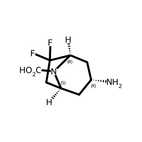 N[C@@H]1C[C@H]2CC(F)(F)[C@@H](C1)N2C(=O)O